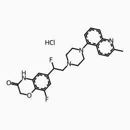 Cc1ccc2c(N3CCN(CC(F)c4cc(F)c5c(c4)NC(=O)CO5)CC3)cccc2n1.Cl